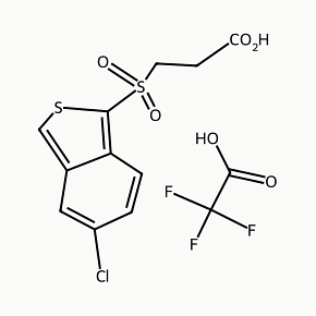 O=C(O)C(F)(F)F.O=C(O)CCS(=O)(=O)c1scc2cc(Cl)ccc12